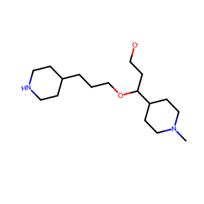 CN1CCC(C(CC[O])OCCCC2CCNCC2)CC1